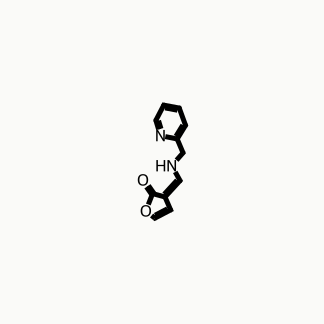 O=C1OC=CC1=CNCc1ccccn1